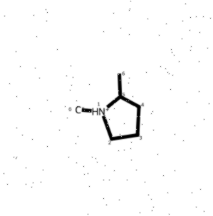 [CH2-][NH+]1CCCC1C